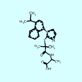 CC(NC(=O)C(C)(C)Sc1nccn1-c1ccc(C(C)C)c2ccccc12)C(=O)O